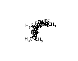 C/C=C/c1cc(C(c2ccc(Oc3c(F)c(F)c(-c4nnc(-c5c(F)c(F)c(C)c(F)c5F)o4)c(F)c3F)c(/C=C/C)c2)(C(F)(F)F)C(F)(F)F)ccc1OC